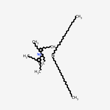 CCCCCCCCCCCCCCCCCCCCCCCCCCC[CH2][Ni][CH2]CCCCCCCCCCCCCCCCCCCCCCCCCCC.CCCCCCc1cc(CCCCCC)cc(C2=CC(CCCC)=C(c3cc(CCCCCC)cc(CCCCCC)c3)[N+]2=[N-])c1